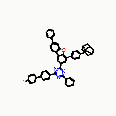 Fc1ccc(-c2ccc(-c3nc(-c4ccccc4)nc(-c4cc(-c5ccc(C67CC8CC(CC(C8)C6)C7)cc5)c5oc6cc(-c7ccccc7)ccc6c5c4)n3)cc2)cc1